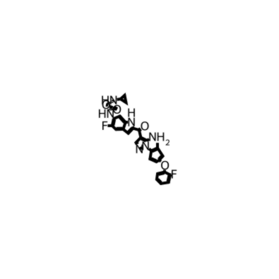 Cc1cc(Oc2ccccc2F)ccc1-n1ncc(C(=O)c2cc3cc(F)c(NS(=O)(=O)NC4CC4)cc3[nH]2)c1N